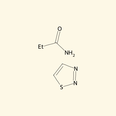 CCC(N)=O.c1csnn1